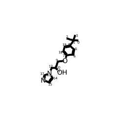 CC(C)(C)c1ccc(OCC(O)Cn2ccnc2)cc1